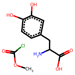 COC(=O)Cl.NC(Cc1ccc(O)c(O)c1)C(=O)O